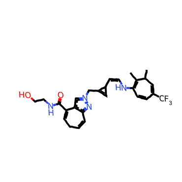 CC1=C(N/C=C\C2C=C2Cn2cc3c(n2)C=CCC=C3C(=O)NCCO)C=CC(C(F)(F)F)=CC1C